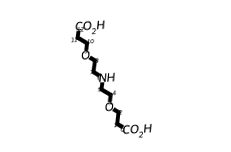 O=C(O)CCOCCNCCOCCC(=O)O